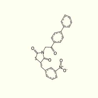 O=C(CN1C(=O)S/C(=C/c2cccc([N+](=O)[O-])c2)C1=O)c1ccc(-c2ccccc2)cc1